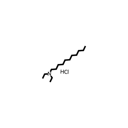 CCCCCCCCCCCN(CC)CC.Cl